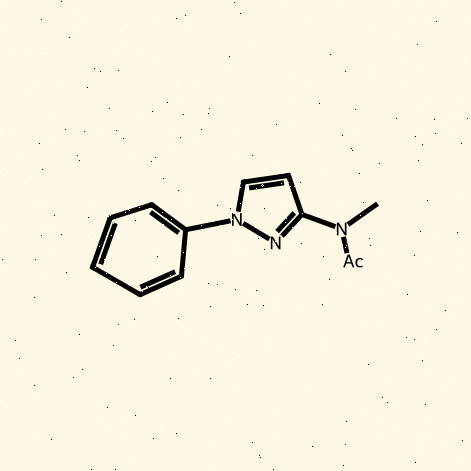 CC(=O)N(C)c1ccn(-c2ccccc2)n1